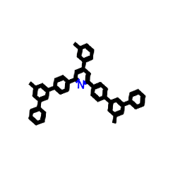 Cc1cccc(-c2cc(-c3ccc(-c4cc(C)cc(-c5ccccc5)c4)cc3)nc(-c3ccc(-c4cc(C)cc(-c5ccccc5)c4)cc3)c2)c1